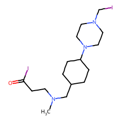 CN(CCC(=O)I)CC1CCC(N2CCN(CI)CC2)CC1